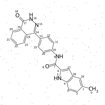 Cc1ccc2[nH]c(C(=O)Nc3ccc(-c4n[nH]c(=O)c5ccccc45)cc3)cc2c1